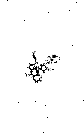 CCC#CCn1ccc(C(=O)c2cncnc2N[C@@H]2C[C@H](COS(N)(=O)=O)[C@@H](O)C2)n1